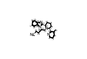 Cc1cccnc1[C@@H]1CCC[C@H](c2nc3ccccc3[nH]2)N1CCCCC#N